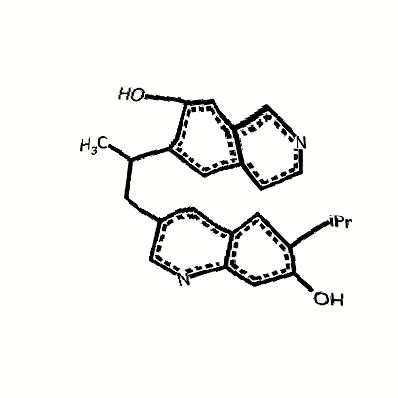 CC(C)c1cc2cc(CC(C)c3cc4ccncc4cc3O)cnc2cc1O